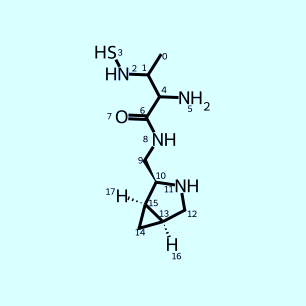 CC(NS)C(N)C(=O)NC[C@H]1NC[C@H]2C[C@H]21